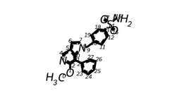 COc1ncc2ccn(Cc3ccc(S(N)(=O)=O)cc3)c2c1-c1ccccc1